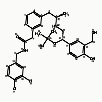 C[C@H](Cc1cccc(CC(=O)NCc2ccc(Cl)c(Cl)c2)c1)NC[C@@H](O[Si](C)(C)C(C)(C)C)c1ccc(O)c(CO)c1